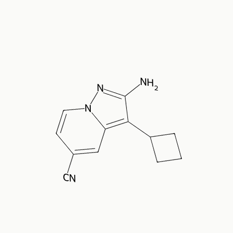 N#Cc1ccn2nc(N)c(C3CCC3)c2c1